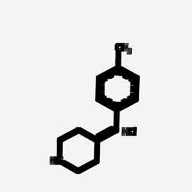 Cc1ccc(C=C2CCNCC2)cc1.Cl